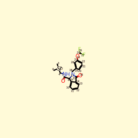 C[Si](C)(C)CNC(=O)C1c2ccccc2C(=O)N1Cc1cccc(OC(F)F)c1